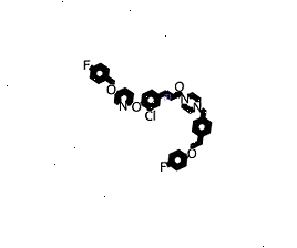 O=C(/C=C/c1ccc(Oc2ccc(OCc3ccc(F)cc3)cn2)c(Cl)c1)N1CCN(Cc2ccc(CCOc3ccc(F)cc3)cc2)CC1